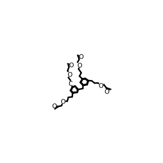 c1c(CCCOCC2CO2)cc(Cc2cc(CCCOCC3CO3)cc(CCCOCC3CO3)c2)cc1CCCOCC1CO1